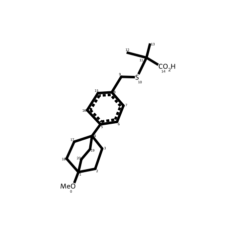 COC12CCC(c3ccc(CSC(C)(C)C(=O)O)cc3)(CC1)CC2